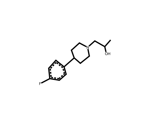 CC(O)CN1CCC(c2ccc(F)cc2)CC1